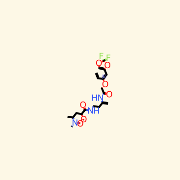 C=C/C(=C\C1=COC(F)(F)O1)OCC(=O)NC(=C)CCNC(=O)C1CC(C)N(C)OO1